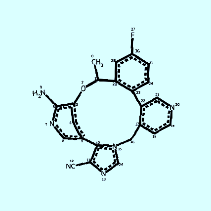 CC1Oc2cc(cnc2N)-c2c(C#N)ncn2Cc2ccncc2-c2ccc(F)cc21